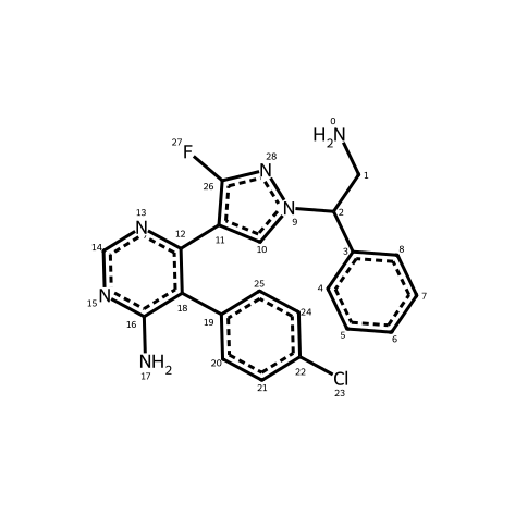 NCC(c1ccccc1)n1cc(-c2ncnc(N)c2-c2ccc(Cl)cc2)c(F)n1